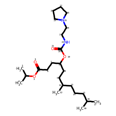 [CH2]C([CH2])OC(=O)CCC(CCC(C)CCCC(C)C)OC(=O)NCCN1CCCC1